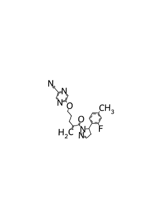 C=C(CCCOc1cnc(C#N)cn1)C(=O)N1N=CCC1c1ccc(C)cc1F